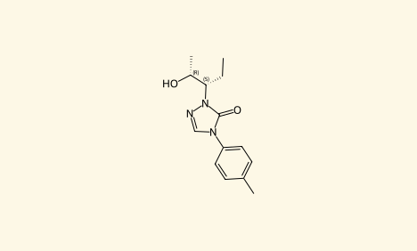 CC[C@@H]([C@@H](C)O)n1ncn(-c2ccc(C)cc2)c1=O